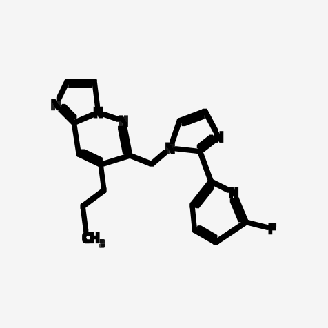 CCCc1cc2nccn2nc1Cn1ccnc1-c1cccc(F)n1